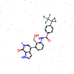 Cn1cc(-c2cccc(NC(=O)c3ccc(C4(C(F)(F)F)CC4)cc3)c2CO)c2cc[nH]c2c1=O